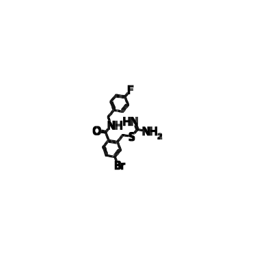 N=C(N)SCc1cc(Br)ccc1C(=O)NCc1ccc(F)cc1